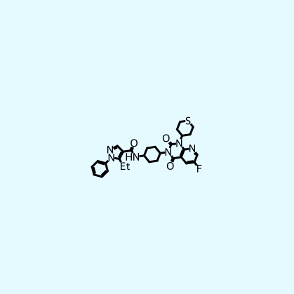 CCc1c(C(=O)NC2CCC(n3c(=O)c4cc(F)cnc4n(C4CCSCC4)c3=O)CC2)cnn1-c1ccccc1